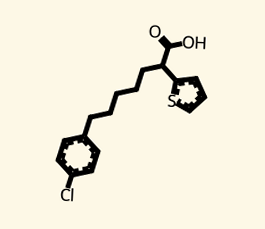 O=C(O)C(CCCCCc1ccc(Cl)cc1)c1cccs1